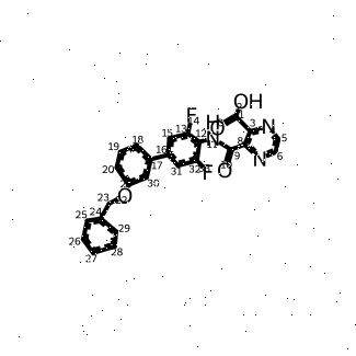 O=C(O)c1nccnc1C(=O)Nc1c(F)cc(-c2cccc(OCc3ccccc3)c2)cc1F